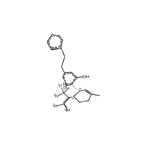 [2H]C([2H])=C([C@@H]1CCC(C)=C[C@H]1c1c(O)cc(CCc2ccccc2)cc1O)C([2H])([2H])[2H]